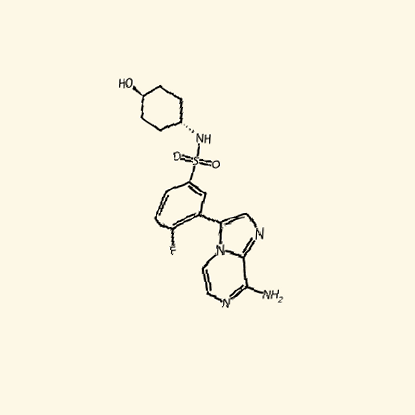 Nc1nccn2c(-c3cc(S(=O)(=O)N[C@H]4CC[C@H](O)CC4)ccc3F)cnc12